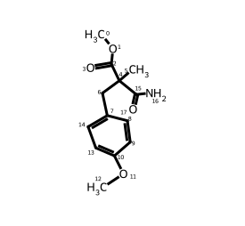 COC(=O)C(C)(Cc1ccc(OC)cc1)C(N)=O